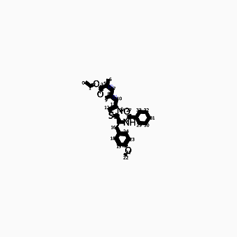 CCOC(=O)/C(C)=C\C(C)=C\c1csc([C@H](Cc2ccc(OC)cc2)NC(=O)C2CCCCC2)n1